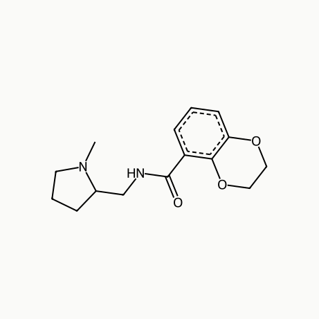 CN1CCCC1CNC(=O)c1cccc2c1OCCO2